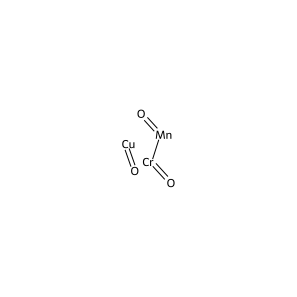 [O]=[Cr][Mn]=[O].[O]=[Cu]